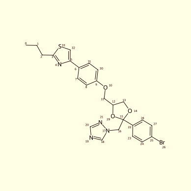 CCCc1nc(-c2ccc(OCC3COC(Cn4cncn4)(c4ccc(Br)cc4)O3)cc2)cs1